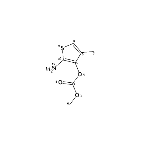 COC(=O)Oc1c(C)csc1N